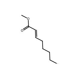 [CH2]CCCCC=CC(=O)OC